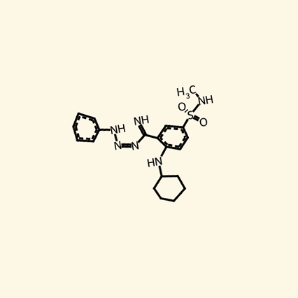 CNS(=O)(=O)c1ccc(NC2CCCCC2)c(C(=N)/N=N\Nc2ccccc2)c1